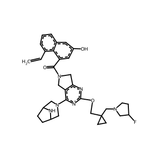 C=Cc1cccc2cc(O)cc(C(=O)N3Cc4nc(OCC5(CN6CCC(F)C6)CC5)nc(N5CC6CCC(C5)N6)c4C3)c12